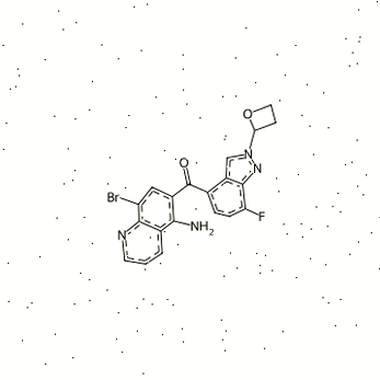 Nc1c(C(=O)c2ccc(F)c3nn(C4CCO4)cc23)cc(Br)c2ncccc12